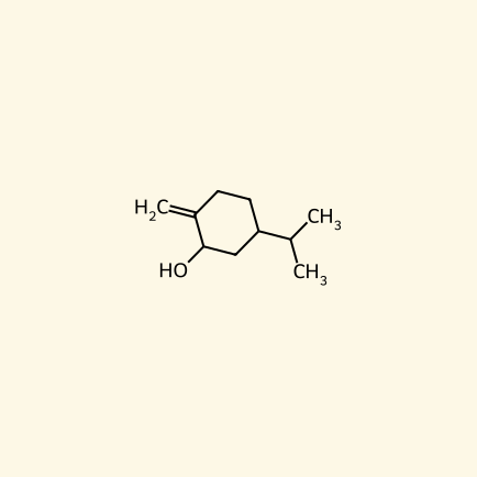 C=C1CCC(C(C)C)CC1O